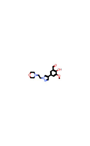 COc1cc(-c2cnn(CCN3CCOCC3)c2)cc(C=O)c1O